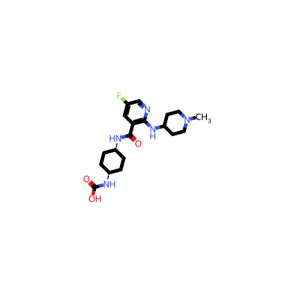 CN1CCC(Nc2ncc(F)cc2C(=O)N[C@H]2CC[C@@H](NC(=O)O)CC2)CC1